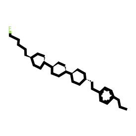 CCCc1ccc(CC[C@H]2CC[C@H]([C@H]3CC[C@H]([C@H]4CC[C@H](CCCCCF)CC4)CC3)CC2)cc1